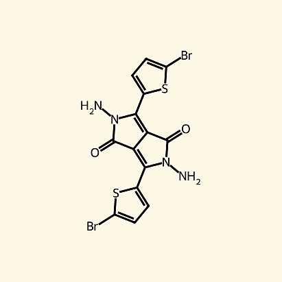 NN1C(=O)C2=C(c3ccc(Br)s3)N(N)C(=O)C2=C1c1ccc(Br)s1